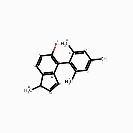 Cc1cc(C)c(-c2c(Br)ccc3c2C=CC3C)c(C)c1